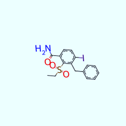 CCS(=O)(=O)c1c(C(N)=O)ccc(I)c1Cc1ccccc1